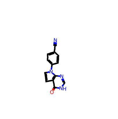 N#Cc1ccc(-n2ccc3c(=O)[nH]cnc32)cc1